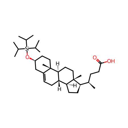 CC(C)[Si](O[C@H]1CC[C@@]2(C)C(=CC[C@H]3[C@@H]4CC[C@H]([C@H](C)CCC(=O)O)[C@@]4(C)CC[C@@H]32)C1)(C(C)C)C(C)C